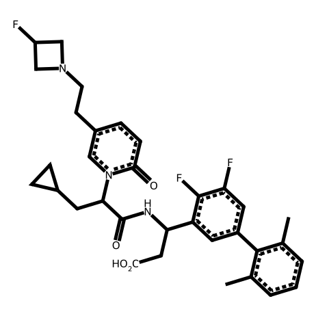 Cc1cccc(C)c1-c1cc(F)c(F)c(C(CC(=O)O)NC(=O)C(CC2CC2)n2cc(CCN3CC(F)C3)ccc2=O)c1